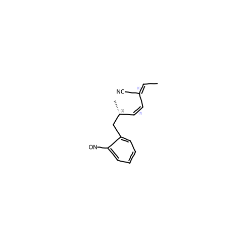 C/C=C(C#N)\C=C/[C@@H](C)Cc1ccccc1N=O